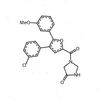 COc1cccc(-c2oc(C(=O)N3CNC(=O)C3)cc2-c2cccc(Cl)c2)c1